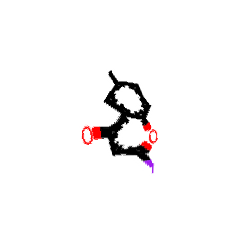 Cc1ccc2oc(I)cc(=O)c2c1